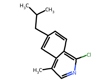 Cc1cnc(Cl)c2ccc(CC(C)C)cc12